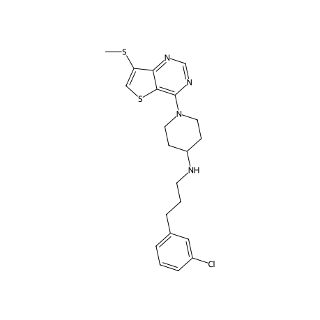 CSc1csc2c(N3CCC(NCCCc4cccc(Cl)c4)CC3)ncnc12